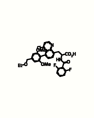 CCOCc1cc(OC)c(-c2ccc(CC(NC(=O)c3c(F)cccc3F)C(=O)O)c3nccc(Cl)c23)c(OC)c1